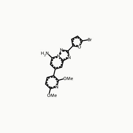 COc1ccc(-c2cc(N)n3nc(-c4ccc(Br)o4)nc3c2)c(OC)n1